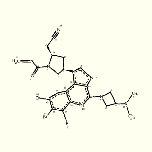 C=CC(=O)N1C[C@H](n2cnc3c(N4CC(N(C)C)C4)nc4c(F)c(Br)c(Cl)cc4c32)C[C@@H]1CC#N